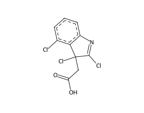 O=C(O)CC1(Cl)C(Cl)=Nc2cccc(Cl)c21